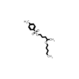 CCCCCOC(C)CCCOS(=O)(=O)c1ccc(C)cc1